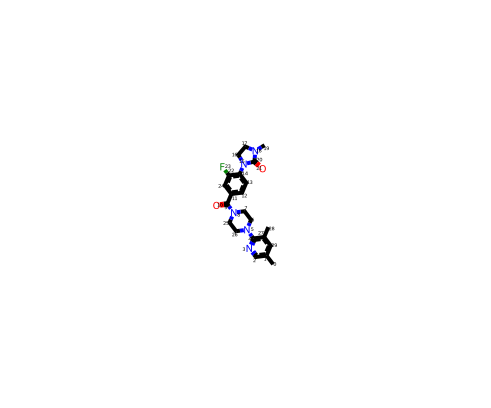 Cc1cnc(N2CCN(C(=O)c3ccc(N4CCN(C)C4=O)c(F)c3)CC2)c(C)c1